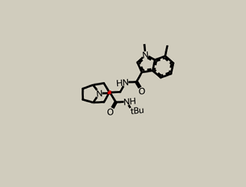 Cc1cccc2c(C(=O)NCC3CC4CCC(C3)N4CC(=O)NC(C)(C)C)cn(C)c12